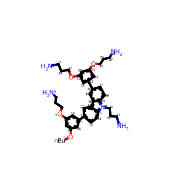 CCCCOc1cc(OCCCN)cc(-c2ccc3c(c2)c2cc(-c4cc(OCCCN)cc(OCCCN)c4)ccc2n3CCCN)c1